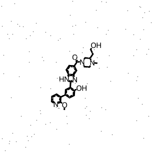 COc1ncccc1-c1ccc(O)c(-c2nc3cc(C(=O)N4CCN(C)C(CCO)C4)ccc3[nH]2)c1